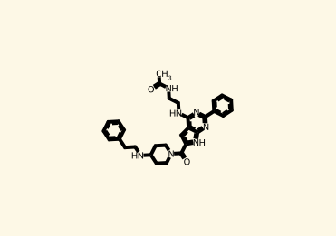 CC(=O)NCCNc1nc(-c2ccccc2)nc2[nH]c(C(=O)N3CCC(NCCc4ccccc4)CC3)cc12